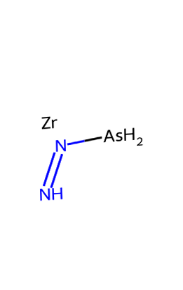 N=N[AsH2].[Zr]